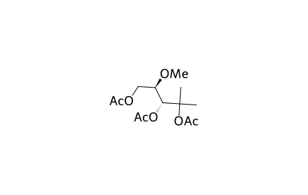 CO[C@H](COC(C)=O)[C@@H](OC(C)=O)C(C)(C)OC(C)=O